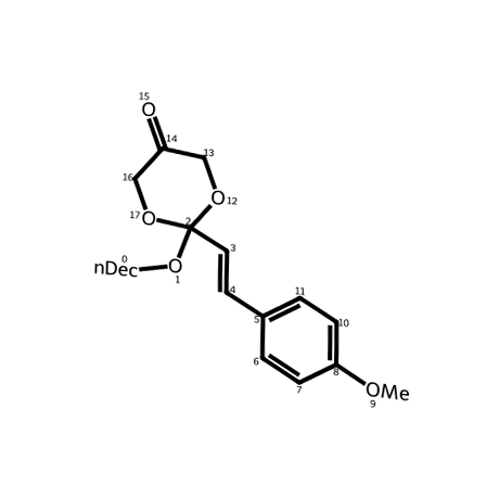 CCCCCCCCCCOC1(/C=C/c2ccc(OC)cc2)OCC(=O)CO1